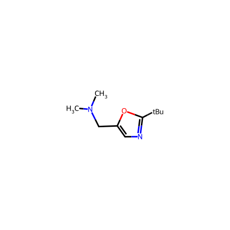 CN(C)Cc1cnc(C(C)(C)C)o1